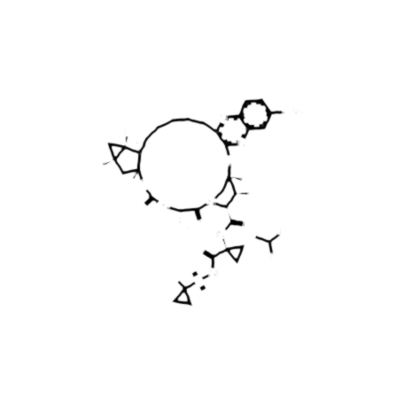 COc1ccc2nc3c(nc2c1)O[C@H]1CN(C(=O)[C@H](C(C)(C)C)NC(=O)O[C@@H]2C[C@@H]4C[C@@H]4[C@H]2CCCCC3)[C@H](C(=O)N[C@]2(C(=O)NS(=O)(=O)C3(C)CC3)C[C@H]2CC(F)F)[C@@H]1C